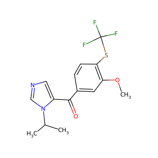 COc1cc(C(=O)c2cncn2C(C)C)ccc1SC(F)(F)F